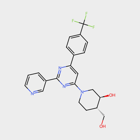 OC[C@@H]1CCN(c2cc(-c3ccc(C(F)(F)F)cc3)nc(-c3cccnc3)n2)C[C@H]1O